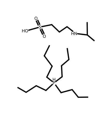 CC(C)NCCCS(=O)(=O)O.CCCC[PH](CCCC)(CCCC)CCCC